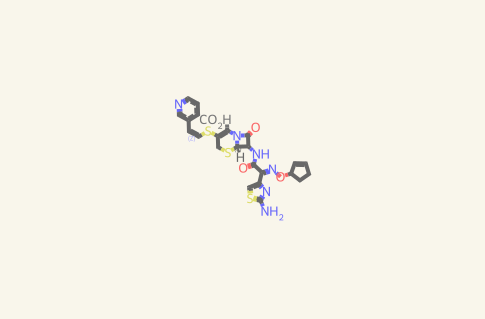 Nc1nc(C(=NOC2C=CCC2)C(=O)NC2C(=O)N3C(C(=O)O)=C(S/C=C\c4cccnc4)CS[C@@H]23)cs1